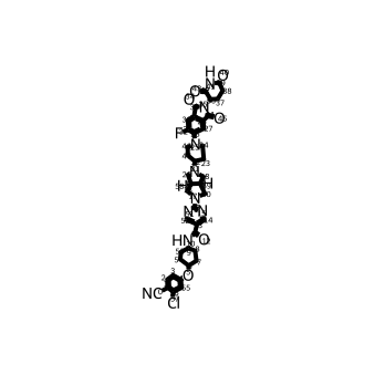 N#Cc1ccc(OC2CCC(NC(=O)c3cnc(N4C[C@@H]5CN(C6CCN(c7cc8c(cc7F)C(=O)N(C7CCC(=O)NC7=O)C8=O)CC6)C[C@@H]5C4)nc3)CC2)cc1Cl